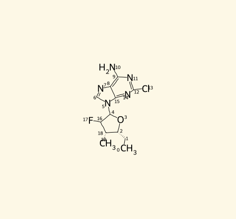 CC[C@H]1OC(n2cnc3c(N)nc(Cl)nc32)C(F)[C@H]1C